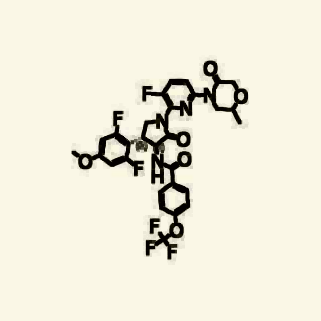 COc1cc(F)c([C@@H]2CN(c3nc(N4CC(C)OCC4=O)ccc3F)C(=O)[C@H]2NC(=O)c2ccc(OC(F)(F)F)cc2)c(F)c1